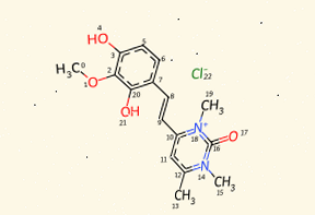 COc1c(O)ccc(C=Cc2cc(C)n(C)c(=O)[n+]2C)c1O.[Cl-]